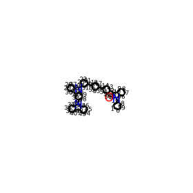 c1ccc(-n2c3ccccc3c3c4ccc(-c5ccc(-c6cccc(-n7c8ccccc8c8cc(-n9c%10ccccc%10c%10ccccc%109)ccc87)c6)cc5)cc4oc32)cc1